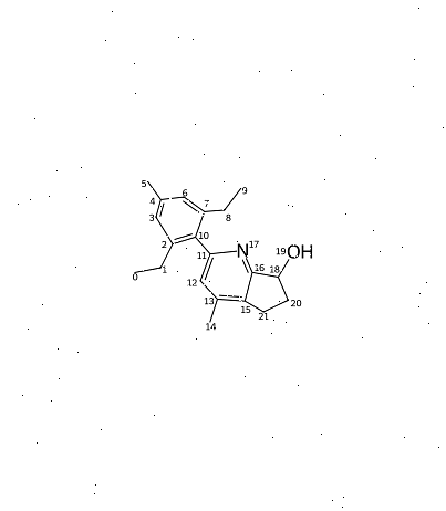 CCc1cc(C)cc(CC)c1-c1cc(C)c2c(n1)C(O)CC2